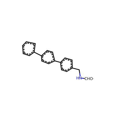 O=[C]NCc1ccc(-c2ccc(-c3ccccc3)cc2)cc1